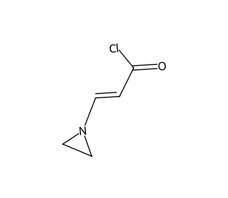 O=C(Cl)C=CN1CC1